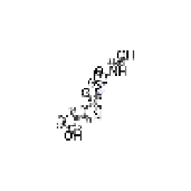 O=C(C/[SH](=O)=N/C(=O)c1cncc(-c2cccc(O)c2)c1)NCCO